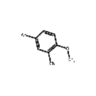 CC(=O)c1ccc(OC(F)(F)F)c(C#N)c1